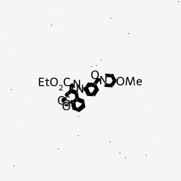 CCOC(=O)c1nn(-c2cccc(C(=O)N3CCC(OC)CC3)c2)c2c1CS(=O)(=O)c1ccccc1-2